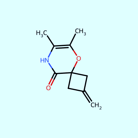 C=C1CC2(C1)OC(C)=C(C)NC2=O